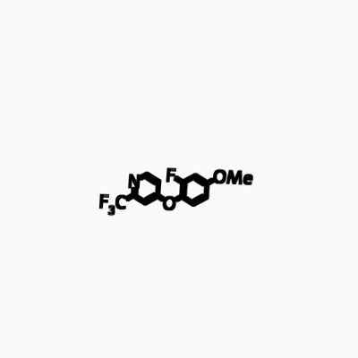 COc1ccc(Oc2ccnc(C(F)(F)F)c2)c(F)c1